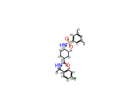 Cc1cc(C)cc(S(=O)(=O)N[C@H]2CC[C@H](C(=O)N[C@H](C)c3ccc(F)cc3)CC2)c1